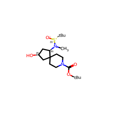 CN([C@@H]1C[C@H](O)CC12CCN(C(=O)OC(C)(C)C)CC2)[S@+]([O-])C(C)(C)C